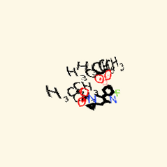 CC(C)(C)OC(=O)N1Cc2c(cnc3c(F)cc(B4OC(C)(C)C(C)(C)O4)cc23)CC12CC2